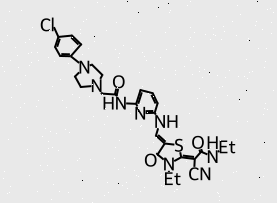 CCNC(=O)C(C#N)=c1sc(=CNc2cccc(NC(=O)CN3CCN(c4ccc(Cl)cc4)CC3)n2)c(=O)n1CC